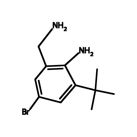 CC(C)(C)c1cc(Br)cc(CN)c1N